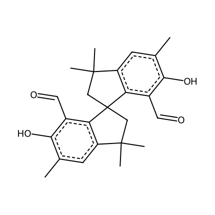 Cc1cc2c(c(C=O)c1O)C1(CC2(C)C)CC(C)(C)c2cc(C)c(O)c(C=O)c21